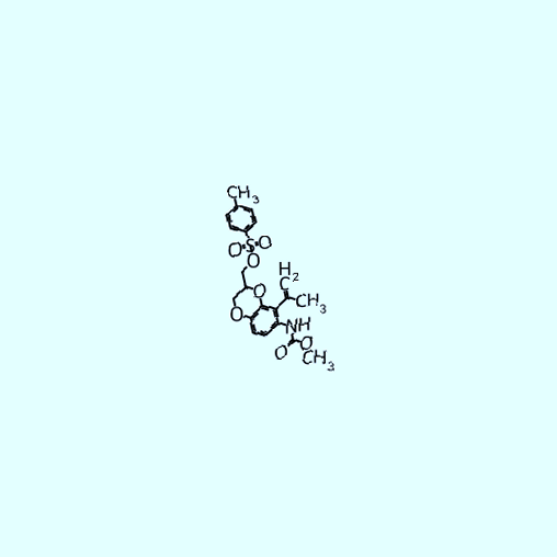 C=C(C)c1c(NC(=O)OC)ccc2c1OC(COS(=O)(=O)c1ccc(C)cc1)CO2